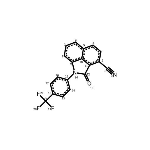 N#Cc1ccc2cccc3c2c1C(=O)N3c1ccc(C(F)(F)F)cc1